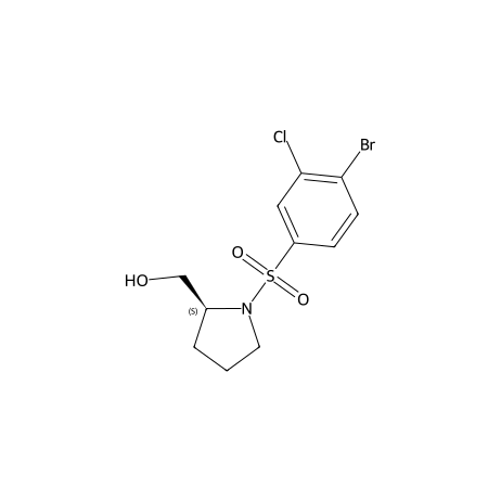 O=S(=O)(c1ccc(Br)c(Cl)c1)N1CCC[C@H]1CO